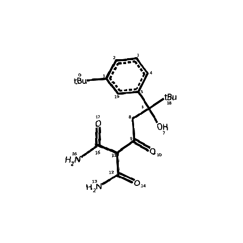 CC(C)(C)c1cccc(C(O)(CC(=O)C(C(N)=O)C(N)=O)C(C)(C)C)c1